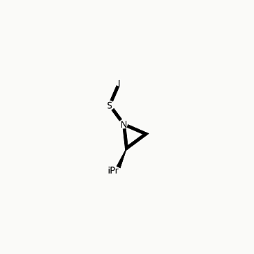 CC(C)[C@@H]1CN1SI